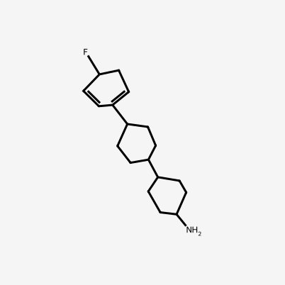 NC1CCC(C2CCC(C3=CCC(F)C=C3)CC2)CC1